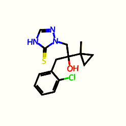 CC1(C(O)(Cc2ccccc2Cl)Cn2nc[nH]c2=S)CC1